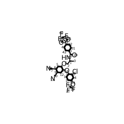 CC(COc1cc(C#N)c(C#N)cc1Oc1ccc(OC(F)(F)F)cc1Cl)NC(=O)c1ccc(S(=O)(=O)C(F)(F)F)cc1